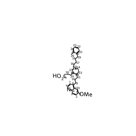 COc1ccc2nccc(CCC[C@@H]3CCN(CCCCc4ccccc4C)C[C@@H]3CCC(=O)O)c2c1